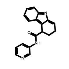 O=C(Nc1cccnc1)C1CCC=C2N=c3ccccc3=C21